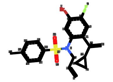 C=CCN(c1cc(Br)c(F)cc1C(=C)C1CC1)S(=O)(=O)c1ccc(C)cc1